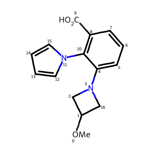 COC1CN(c2cccc(C(=O)O)c2-n2cccc2)C1